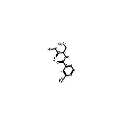 O=C(O)CC(NC(=O)c1cccc(C(F)(F)F)c1)C(=O)CF